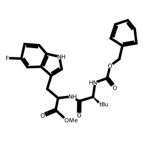 COC(=O)C(Cc1c[nH]c2ccc(F)cc12)NC(=O)[C@@H](NC(=O)OCc1ccccc1)C(C)(C)C